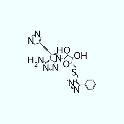 Cn1cnc(-c2ccccc2)c1CSC[C@H]1O[C@@H](n2cc(C#Cc3cncnc3)c3c(N)ncnc32)[C@H](O)[C@@H]1O